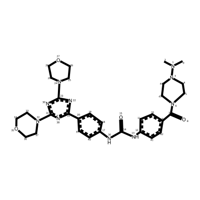 CN(C)N1CCN(C(=O)c2ccc(NC(=O)Nc3ccc(-c4nc(N5CCOCC5)nc(N5CCOCC5)n4)cc3)cc2)CC1